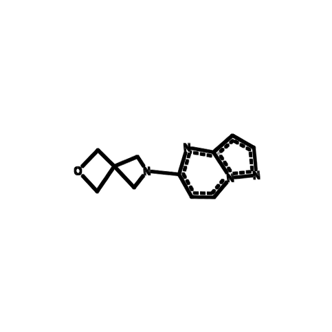 c1cc2nc(N3CC4(COC4)C3)ccn2n1